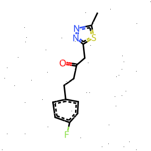 Cc1nnc(CC(=O)CCc2ccc(F)cc2)s1